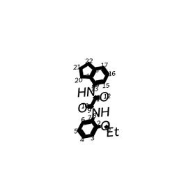 CCOc1ccccc1NC(=O)C(=O)Nc1cccc2c1CCC2